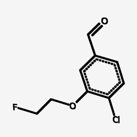 O=Cc1ccc(Cl)c(OCCF)c1